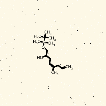 C=CC/C(C)=C\CC(O)CO[Si](C)(C)C(C)(C)C